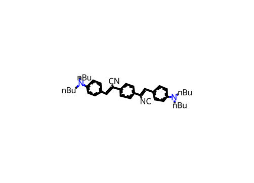 [C-]#[N+]/C(=C\c1ccc(N(CCCC)CCCC)cc1)c1ccc(/C(C#N)=C/c2ccc(N(CCCC)CCCC)cc2)cc1